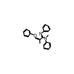 CC(=COc1ccccc1)C(=Nc1ccccc1)N(C)c1ccccc1